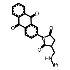 CC(C)NCC1CC(=O)N(c2ccc3c(c2)C(=O)c2ccccc2C3=O)C1=O